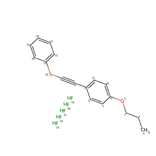 CCCOc1ccc(C#CSc2ccccc2)cc1.F.F.F.F.F